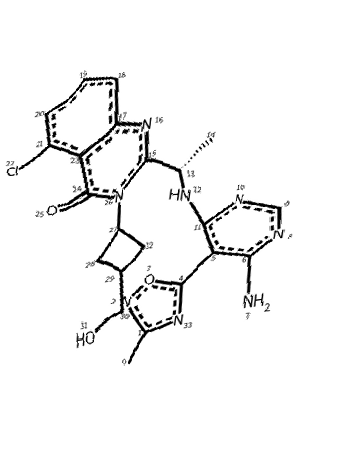 Cc1noc(-c2c(N)ncnc2N[C@@H](C)c2nc3cccc(Cl)c3c(=O)n2C2CC(CO)C2)n1